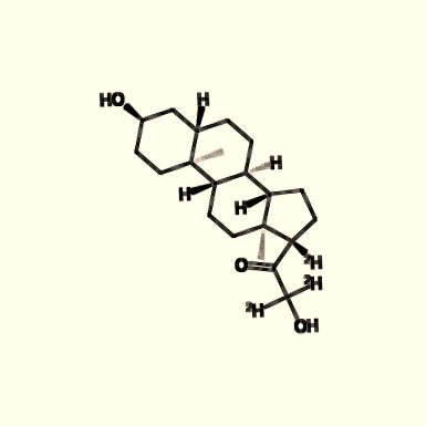 [2H]C([2H])(O)C(=O)[C@@]1([2H])CC[C@H]2[C@@H]3CC[C@H]4C[C@H](O)CC[C@]4(C)[C@H]3CC[C@@]21C